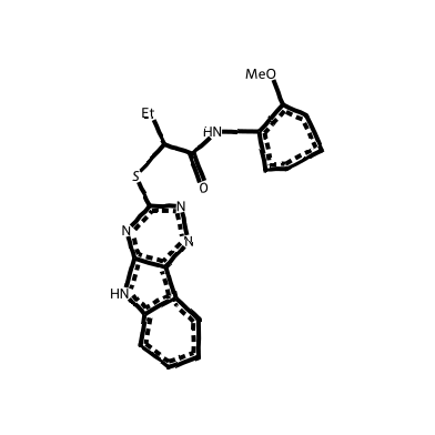 CCC(Sc1nnc2c(n1)[nH]c1ccccc12)C(=O)Nc1ccccc1OC